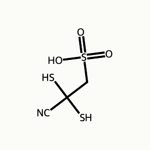 N#CC(S)(S)CS(=O)(=O)O